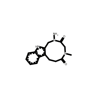 CN1CC(=O)N(N)Cc2[nH]c3ccccc3c2CCC1=O